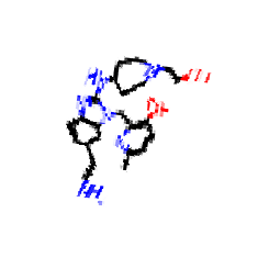 Cc1ccc(O)c(Cn2c(NC3CCN(CCO)CC3)nc3ccc(CCN)cc32)n1